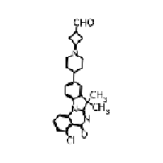 CC1(C)c2cc(C3CCN(C4CC(C=O)C4)CC3)ccc2-n2c1nc(=O)c1c(Cl)cccc12